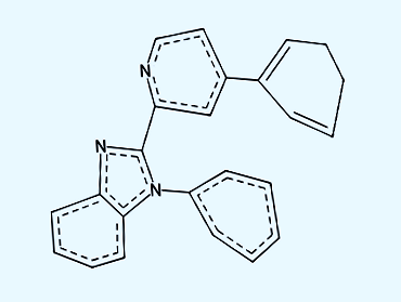 C1=CC(c2ccnc(-c3nc4ccccc4n3-c3ccccc3)c2)=CCC1